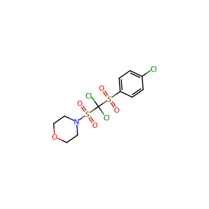 O=S(=O)(c1ccc(Cl)cc1)C(Cl)(Cl)S(=O)(=O)N1CCOCC1